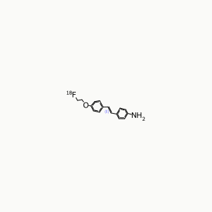 Nc1ccc(/C=C/c2ccc(OCC[18F])cc2)cc1